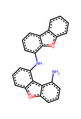 Nc1cccc2oc3cccc(Nc4cccc5c4oc4ccccc45)c3c12